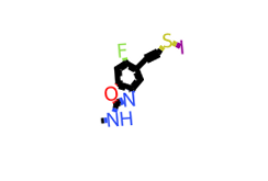 CNc1nc2cc(C#CSI)c(F)cc2o1